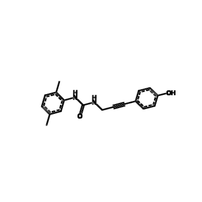 Cc1ccc(C)c(NC(=O)NCC#Cc2ccc(O)cc2)c1